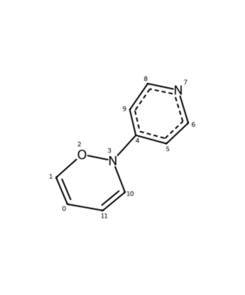 C1=CON(c2ccncc2)C=C1